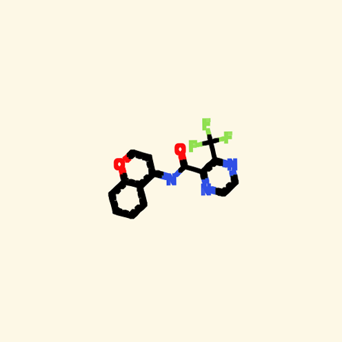 O=C(N=c1ccoc2ccccc12)c1nccnc1C(F)(F)F